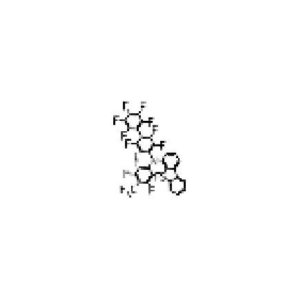 Fc1c(F)c(F)c(-c2c(F)c(F)c(N(c3c(F)c(F)c(C(F)(F)F)c(F)c3F)c3cccc4c3sc3ccccc34)c(F)c2F)c(F)c1F